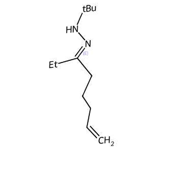 C=CCCC/C(CC)=N/NC(C)(C)C